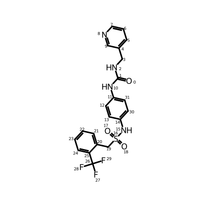 O=C(NCc1cccnc1)Nc1ccc(NS(=O)(=O)Cc2ccccc2C(F)(F)F)cc1